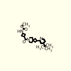 COC(=O)NC1CC(C(=O)N2CCC3(CC2)CC(c2cc(C(C)(C)C)ccn2)C3)C1